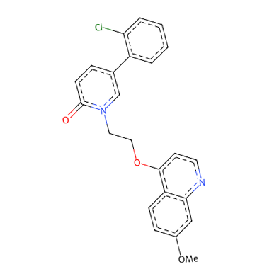 COc1ccc2c(OCCn3cc(-c4ccccc4Cl)ccc3=O)ccnc2c1